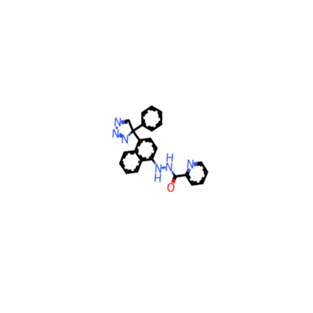 O=C(NNc1ccc(C2(c3ccccc3)C=NN=N2)c2ccccc12)c1ccccn1